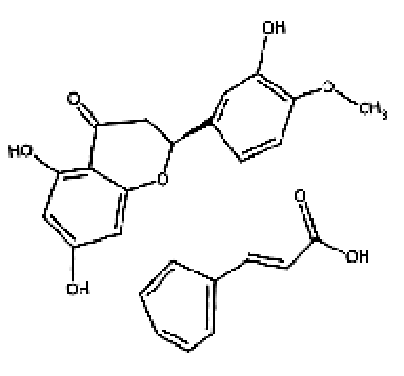 COc1ccc([C@@H]2CC(=O)c3c(O)cc(O)cc3O2)cc1O.O=C(O)C=Cc1ccccc1